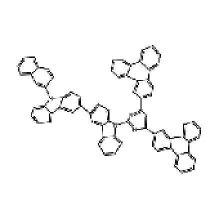 c1ccc2cc(-n3c4ccccc4c4cc(-c5ccc6c(c5)c5ccccc5n6-c5nc(-c6ccc7c8ccccc8c8ccccc8c7c6)cc(-c6ccc7c8ccccc8c8ccccc8c7c6)n5)ccc43)ccc2c1